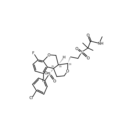 CNC(=O)C(C)(C)S(=O)(=O)CC[C@@H]1OCC[C@@]2(S(=O)(=O)c3ccc(Cl)cc3)c3c(F)ccc(F)c3OC[C@@H]12